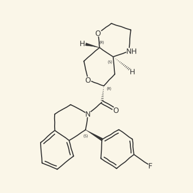 O=C([C@H]1C[C@@H]2NCCO[C@H]2CO1)N1CCc2ccccc2[C@@H]1c1ccc(F)cc1